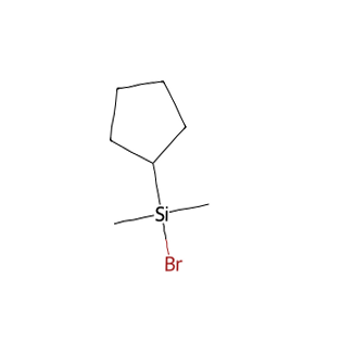 C[Si](C)(Br)C1CCCC1